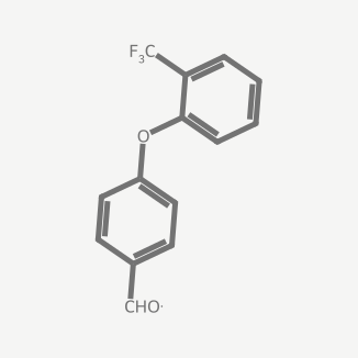 O=[C]c1ccc(Oc2ccccc2C(F)(F)F)cc1